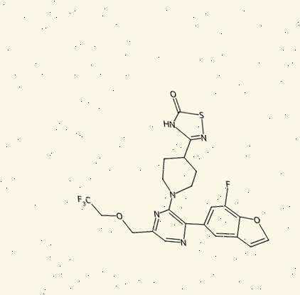 O=c1[nH]c(C2CCN(c3nc(COCC(F)(F)F)cnc3-c3cc(F)c4occc4c3)CC2)ns1